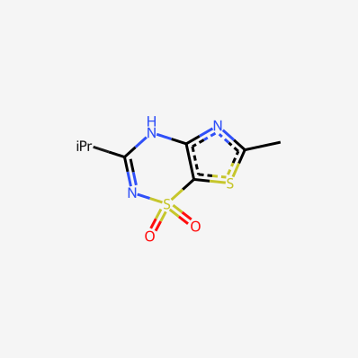 Cc1nc2c(s1)S(=O)(=O)N=C(C(C)C)N2